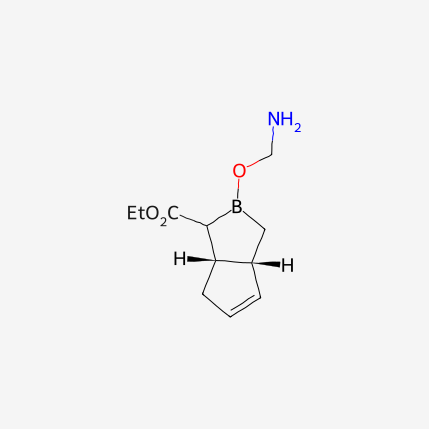 CCOC(=O)C1B(OCN)C[C@@H]2C=CC[C@H]12